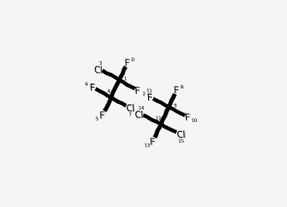 FC(F)(Cl)C(F)(F)Cl.FC(F)(F)C(F)(Cl)Cl